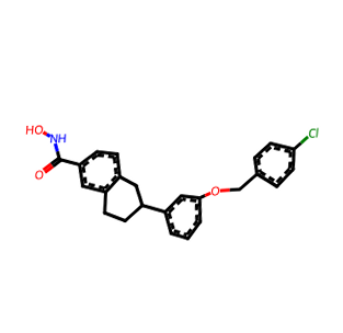 O=C(NO)c1ccc2c(c1)CCC(c1cccc(OCc3ccc(Cl)cc3)c1)C2